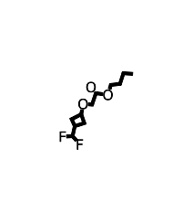 CCCCOC(=O)COC1CC(C(F)F)C1